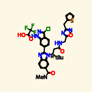 CNC(=O)c1ccc2nc(-c3ccc4c(Cl)n[nH]c4c3)n([C@@H](CC(=O)NCc3nc(Cc4cccs4)no3)C(C)(C)C)c2c1.O=C(O)C(F)(F)F